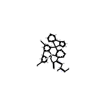 C=C1CC[N+]23c4c(cccc4C4(c5ccccc5-c5ccccc54)c4cc(C)cc(c42)-c2cc(C)cc[n+]23)/C1=C/C(C)=C\C